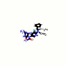 NC(=O)N(c1cnc(N(C=O)[C@@H](Cc2ccccc2)C(=O)O)c(F)c1)c1c(N)nc(N)[nH]c1=O